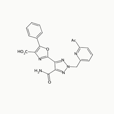 CC(=O)c1cccc(Cn2nc(C(N)=O)c(-c3nc(C(=O)O)c(-c4ccccc4)o3)n2)n1